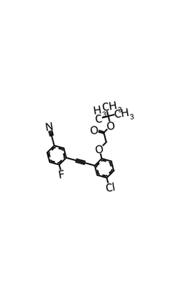 CC(C)(C)OC(=O)COc1ccc(Cl)cc1C#Cc1cc(C#N)ccc1F